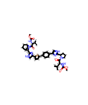 COC(=O)N[C@H](C(=O)N1CCCC1c1nc(-c2ccc(-c3ccc(-c4c[nH]c(C5C6CCC(C6)N5C(=O)[C@@H](NC(=O)OC)C(C)C)n4)s3)cc2)c[nH]1)C(C)C